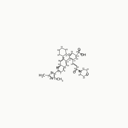 Cc1nc(C)c(-c2ccc3cc(-c4c(C=CC(=O)N5CCOCC5)cc(C(=O)O)cc4C4CCCCC4)ccc3n2)s1